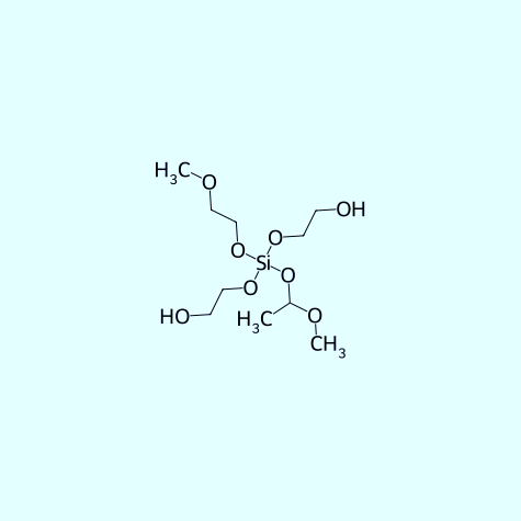 COCCO[Si](OCCO)(OCCO)OC(C)OC